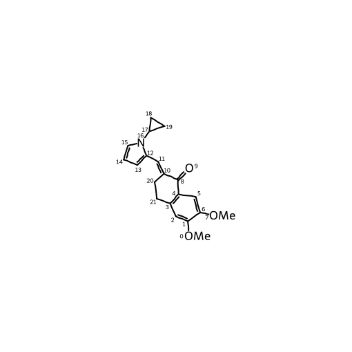 COc1cc2c(cc1OC)C(=O)/C(=C/c1cccn1C1CC1)CC2